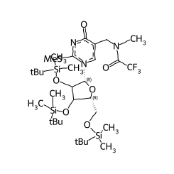 CSc1nc(=O)c(CN(C)C(=O)C(F)(F)F)cn1[C@@H]1O[C@H](CO[Si](C)(C)C(C)(C)C)C(O[Si](C)(C)C(C)(C)C)C1O[Si](C)(C)C(C)(C)C